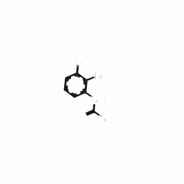 NC(=S)Nc1cccc(Br)c1Br